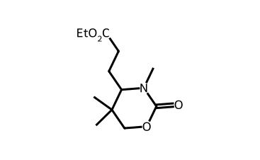 CCOC(=O)CCC1N(C)C(=O)OCC1(C)C